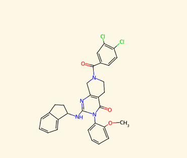 COc1ccccc1-n1c(NC2CCc3ccccc32)nc2c(c1=O)CCN(C(=O)c1ccc(Cl)c(Cl)c1)C2